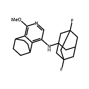 COc1ncc(NC23CC4CC(F)(CC(F)(C4)C2)C3)c2c1C1CCC2CC1